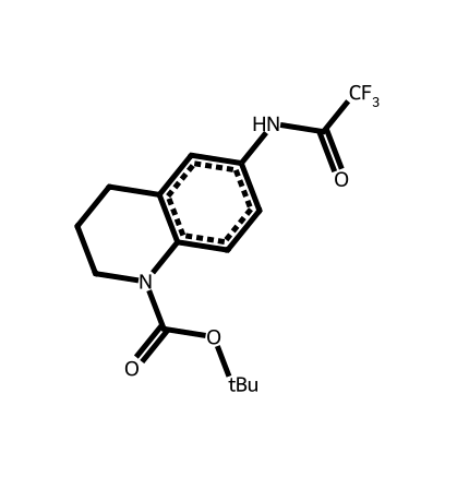 CC(C)(C)OC(=O)N1CCCc2cc(NC(=O)C(F)(F)F)ccc21